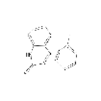 Cc1ccccc1.S=c1ncc2ccccc2[nH]1